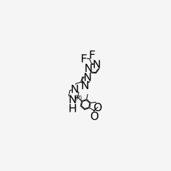 Cc1c([C@@H]2CN(Cc3cn(-c4ccnc(C(F)F)n4)cn3)CCN2)ccc2c1COC2=O